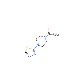 CC(C)(C)C(=O)N1CCN(c2nccs2)CC1